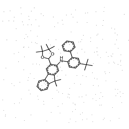 CC(C)(C)c1ccc(Nc2cc3c(cc2C2OC(C)(C)C(C)(C)O2)-c2ccccc2C3(C)C)c(-c2ccccc2)c1